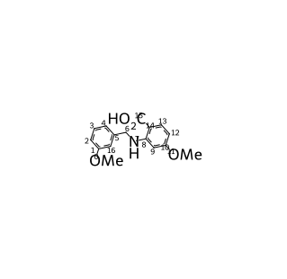 COc1cccc(CNc2cc(OC)ccc2C(=O)O)c1